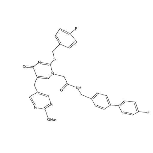 COc1ncc(Cc2cn(CC(=O)NCc3ccc(-c4ccc(F)cc4)cc3)c(SCc3ccc(F)cc3)nc2=O)cn1